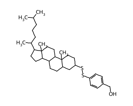 CC(C)CCCC(C)C1CCC2C3CCC4CC(SSc5ccc(CO)cc5)CCC4(C)C3CCC12C